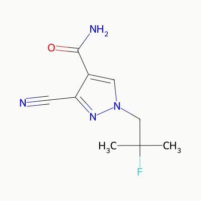 CC(C)(F)Cn1cc(C(N)=O)c(C#N)n1